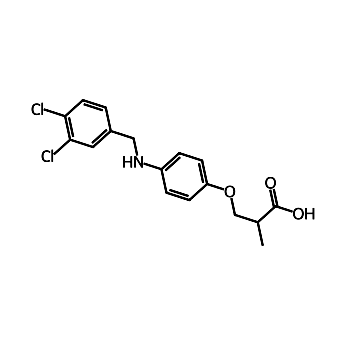 CC(COc1ccc(NCc2ccc(Cl)c(Cl)c2)cc1)C(=O)O